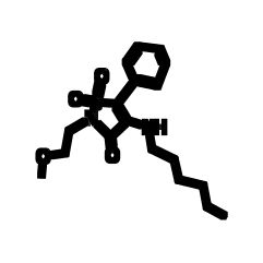 CCCCCCNC1=C(c2ccccc2)S(=O)(=O)N(CCOC)C1=O